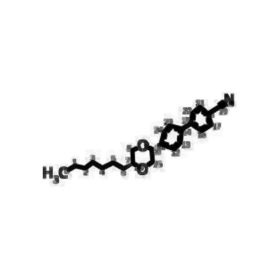 CCCCCCC[C@H]1CO[C@H](c2ccc(-c3ccc(C#N)cc3)cc2)CO1